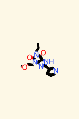 CCCn1c(=O)c2[nH]c(-c3cccnc3)nc2n(CCOC)c1=O